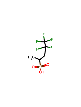 CC(CC(F)(F)C(F)(F)F)S(=O)(=O)O